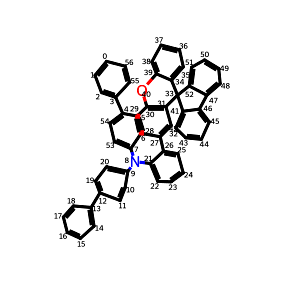 c1ccc(-c2ccc(N(c3ccc(-c4ccccc4)cc3)c3ccccc3-c3ccc4c(c3)C3(c5ccccc5O4)c4ccccc4-c4ccccc43)cc2)cc1